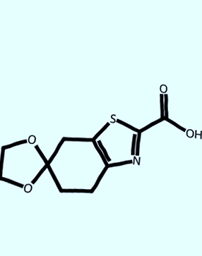 O=C(O)c1nc2c(s1)CC1(CC2)OCCO1